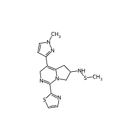 CSNC1CC2=C(c3ccn(C)n3)CN=C(c3nccs3)N2C1